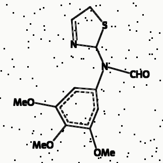 COc1cc(N(C=O)C2N=CCS2)cc(OC)c1OC